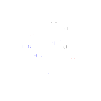 Cc1cc2c(C(N)=O)c(N)c(-c3c(C)c(O)cc4c3CCNC4)n2nc1C